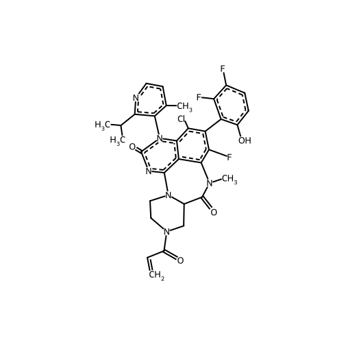 C=CC(=O)N1CCN2c3nc(=O)n(-c4c(C)ccnc4C(C)C)c4c(Cl)c(-c5c(O)ccc(F)c5F)c(F)c(c34)N(C)C(=O)C2C1